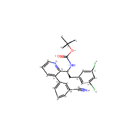 CC(C)(C)OC(=O)N[C@@H](Cc1cc(F)cc(F)c1)c1ncccc1-c1cccc(C#N)c1